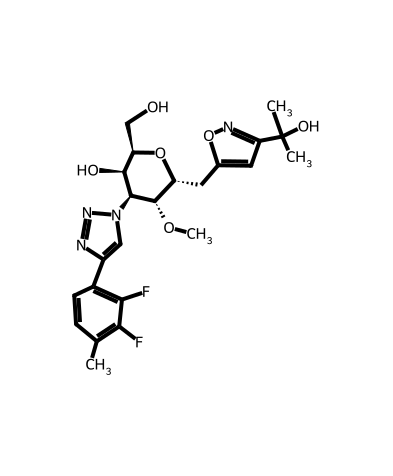 CO[C@@H]1[C@@H](n2cc(-c3ccc(C)c(F)c3F)nn2)[C@@H](O)[C@@H](CO)O[C@@H]1Cc1cc(C(C)(C)O)no1